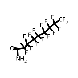 NC(=O)C(F)(F)C(F)(F)C(F)(F)C(F)(F)C(F)(F)C(F)(F)C(F)(F)C(F)(F)F